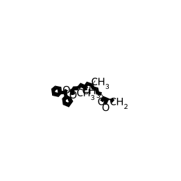 C=C[C@H]1C(=O)O[C@@H]1CCCC[C@@H](C)C/C(C)=C/C(C)=C/C(=O)OC(c1ccccc1)c1ccccc1